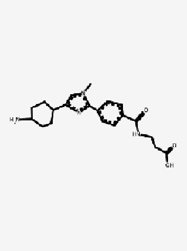 Cn1cc(C2CCC(N)CC2)nc1-c1ccc(C(=O)NCCC(=O)O)cc1